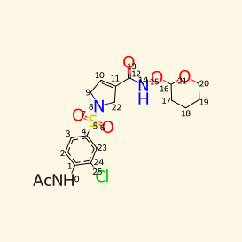 CC(=O)Nc1ccc(S(=O)(=O)N2CC=C(C(=O)NOC3CCCCO3)C2)cc1Cl